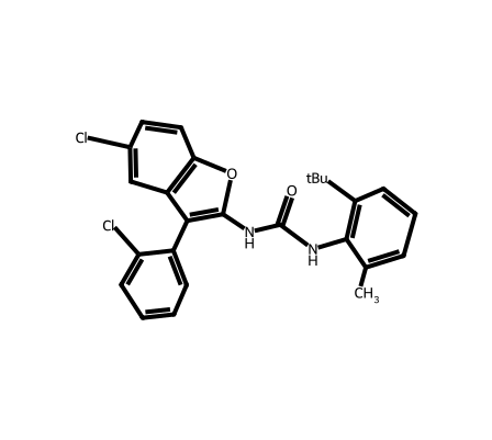 Cc1cccc(C(C)(C)C)c1NC(=O)Nc1oc2ccc(Cl)cc2c1-c1ccccc1Cl